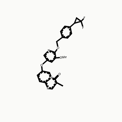 COc1cc(Oc2ccc3ncc(C)c(=O)n3c2)cnc1OCc1ccc(C2CC2(F)F)cc1